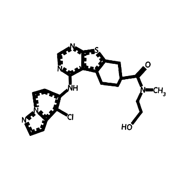 CN(CCO)C(=O)C1CCc2c(sc3ncnc(Nc4ccn5nccc5c4Cl)c23)C1